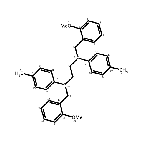 COc1ccccc1CP(CCP(Cc1ccccc1OC)c1ccc(C)cc1)c1ccc(C)cc1